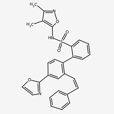 Cc1noc(NS(=O)(=O)c2ccccc2-c2ccc(-c3ncco3)cc2/C=C\c2ccccc2)c1C